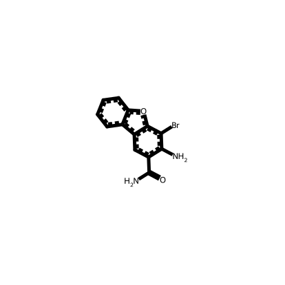 NC(=O)c1cc2c(oc3ccccc32)c(Br)c1N